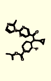 Cc1nccn1-c1ncc(C(=O)N(C2CC2)C2CCN(C(=O)OC(C)C)C[C@H]2F)cn1